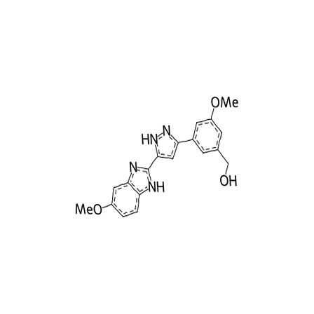 COc1cc(CO)cc(-c2cc(-c3nc4cc(OC)ccc4[nH]3)[nH]n2)c1